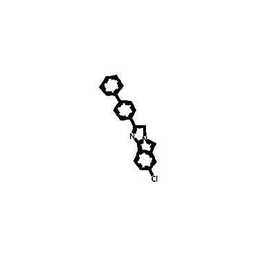 Clc1ccc2c3n(cc2c1)CC(c1ccc(-c2ccccc2)cc1)=N3